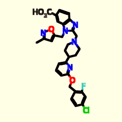 Cc1cc(Cn2c(CN3CCC(c4cccc(OCc5ccc(Cl)cc5F)n4)CC3)nc3ccc(C(=O)O)cc32)on1